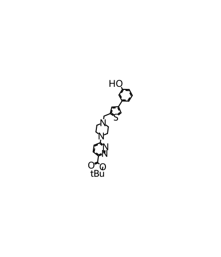 CC(C)(C)OC(=O)c1ccc(N2CCN(Cc3cc(-c4cccc(O)c4)cs3)CC2)nn1